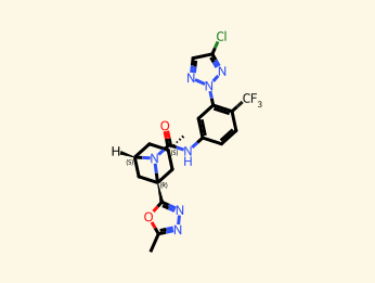 Cc1nnc([C@@]23C[C@@H](C)C[C@@H](C2)N3C(=O)Nc2ccc(C(F)(F)F)c(-n3ncc(Cl)n3)c2)o1